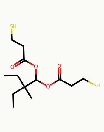 CCC(C)(CC)C(OC(=O)CCS)OC(=O)CCS